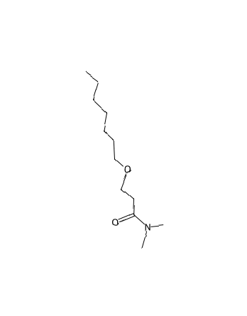 CCCCCCCOCCC(=O)N(C)C